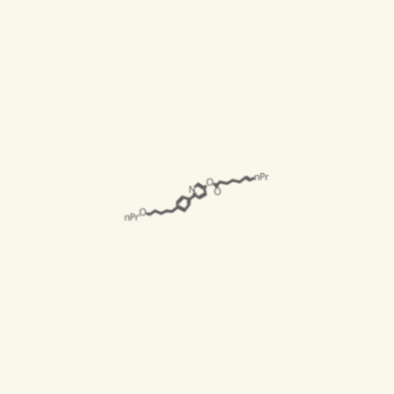 CCCC=CCCCCC(=O)Oc1ccc(-c2ccc(CCCCCOCCC)cc2)nc1